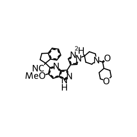 [2H]C1(n2cc(-c3n[nH]c4cc(OC)c(C5(C#N)CCc6ccccc65)nc34)cn2)CCN(C(=O)C2CCOCC2)CC1